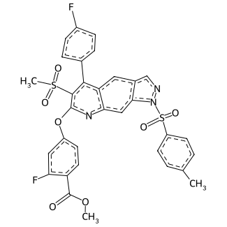 COC(=O)c1ccc(Oc2nc3cc4c(cnn4S(=O)(=O)c4ccc(C)cc4)cc3c(-c3ccc(F)cc3)c2S(C)(=O)=O)cc1F